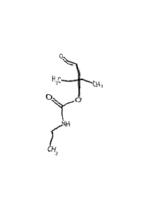 CCNC(=O)OC(C)(C)C=O